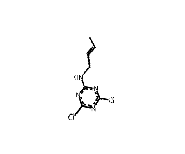 CC=CCNc1nc(Cl)nc(Cl)n1